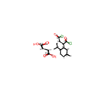 CC1CCC(C(C)C)C(C(CC(=O)Cl)C(=O)Cl)C1.O=C(O)CCC(=O)O